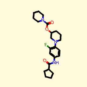 O=C(Nc1ccc(N2CCCC(OC(=O)N3CCCCC3)C2)c(F)c1)C1CCCC1